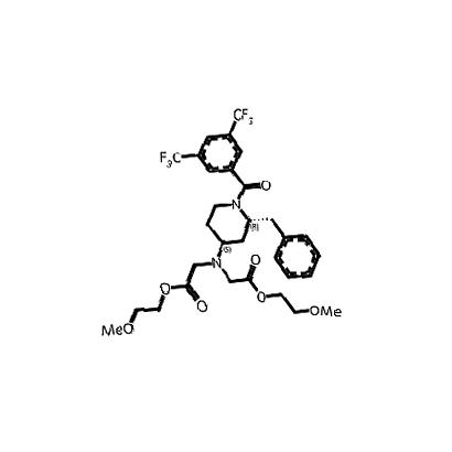 COCCOC(=O)CN(CC(=O)OCCOC)[C@H]1CCN(C(=O)c2cc(C(F)(F)F)cc(C(F)(F)F)c2)[C@H](Cc2ccccc2)C1